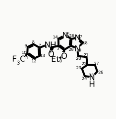 CCOc1c(C(=O)Nc2ccc(C(F)(F)F)cc2)cnc2ncn(CCC3CCNCC3)c12